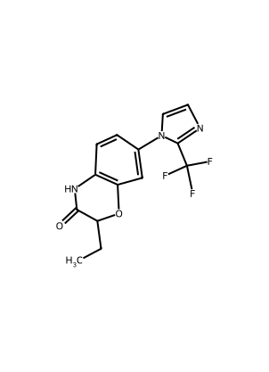 CCC1Oc2cc(-n3ccnc3C(F)(F)F)ccc2NC1=O